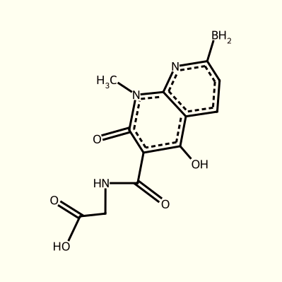 Bc1ccc2c(O)c(C(=O)NCC(=O)O)c(=O)n(C)c2n1